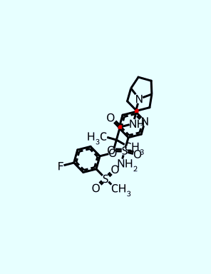 CC(C)(Oc1ccc(F)cc1S(C)(=O)=O)C(=O)NC1CC2CCC(C1)N2c1ccc(S(N)(=O)=O)cn1